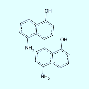 Nc1cccc2c(O)cccc12.Nc1cccc2c(O)cccc12